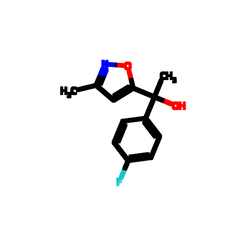 Cc1cc(C(C)(O)c2ccc(F)cc2)on1